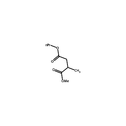 CCCOC(=O)CC(C)C(=O)OC